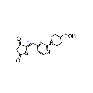 O=C1CC(=O)/C(=C/c2ccnc(N3CCC(CO)CC3)n2)S1